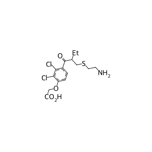 CCC(CSCCN)C(=O)c1ccc(OCC(=O)O)c(Cl)c1Cl